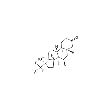 C[C@@H]1C[C@H]2CC(=O)CC[C@]2(C)[C@H]2CC[C@@]3(C)[C@@H](CC[C@@]3(O)C(F)(F)C(F)(F)F)[C@H]12